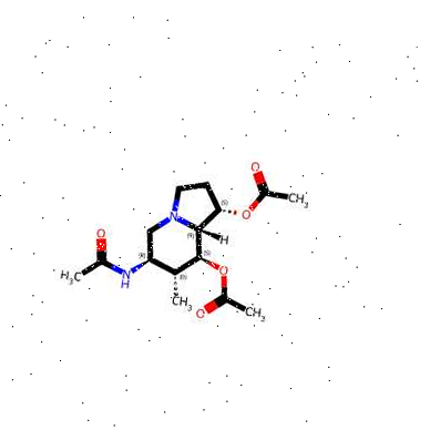 CC(=O)N[C@H]1CN2CC[C@H](OC(C)=O)[C@@H]2[C@@H](OC(C)=O)[C@@H]1C